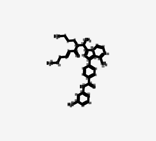 CCCCN(C(=O)/C=C/COC)C(C)c1nc(-c2ccc(C(=O)Nc3cc(C)ccn3)cc2)c2c(N)nccn12